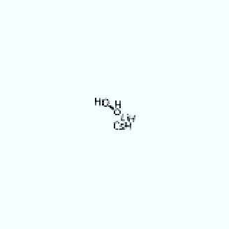 OO.[CsH].[LiH]